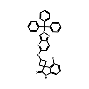 O=C1Nc2cccc(F)c2C12CC(Oc1ccc3nn(C(c4ccccc4)(c4ccccc4)c4ccccc4)cc3n1)C2